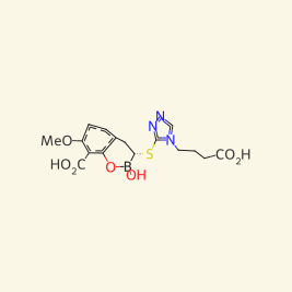 COc1ccc2c(c1C(=O)O)OB(O)[C@@H](Sc1nncn1CCCC(=O)O)C2